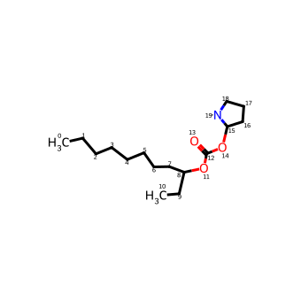 CCCCCCCCC(CC)OC(=O)OC1CCC[N]1